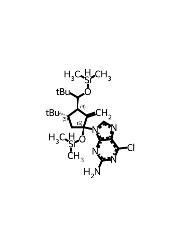 C=C1[C@H](C(O[SiH](C)C)C(C)(C)C)[C@@H](C(C)(C)C)C[C@@]1(O[SiH](C)C)n1cnc2c(Cl)nc(N)nc21